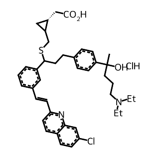 CCN(CC)CCCC(C)(O)c1ccc(CCC(SCC2C[C@@H]2CC(=O)O)c2cccc(/C=C/c3ccc4ccc(Cl)cc4n3)c2)cc1.Cl